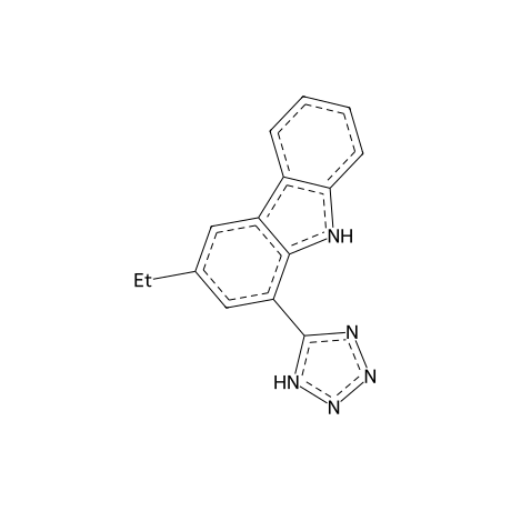 CCc1cc(-c2nnn[nH]2)c2[nH]c3ccccc3c2c1